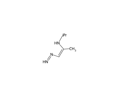 C/C(=C/N=N)NC(C)C